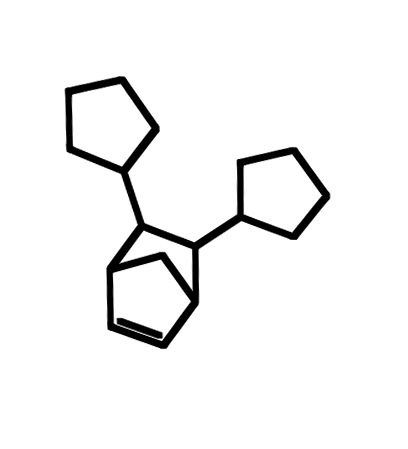 C1=CC2CC1C(C1CCCC1)C2C1CCCC1